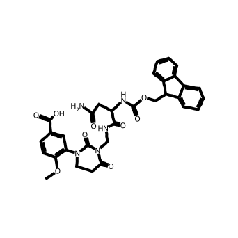 COc1ccc(C(=O)O)cc1N1CCC(=O)N(CNC(=O)C(CC(N)=O)NC(=O)OCC2c3ccccc3-c3ccccc32)C1=O